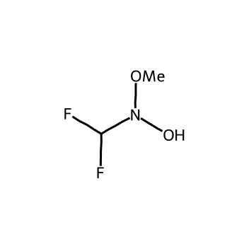 CON(O)C(F)F